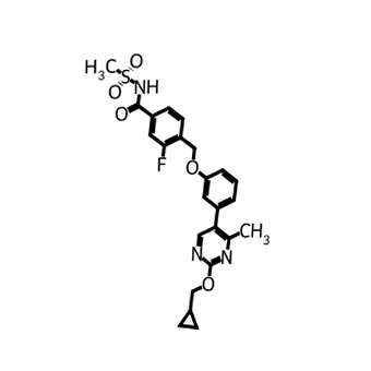 Cc1nc(OCC2CC2)ncc1-c1cccc(OCc2ccc(C(=O)NS(C)(=O)=O)cc2F)c1